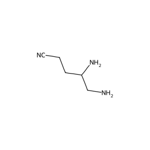 N#CCCC(N)CN